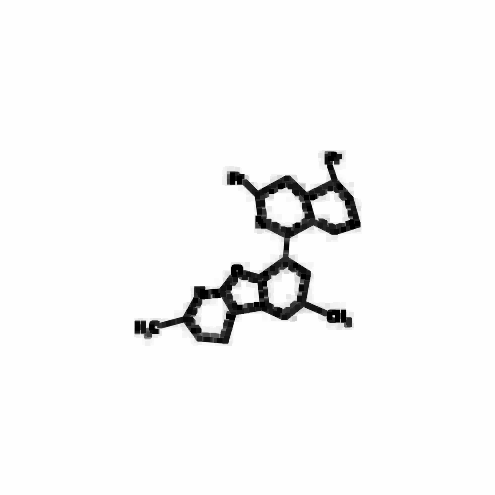 Cc1cc(-c2nc(C(C)C)cc3c(C(C)C)cccc23)c2oc3nc(C)ccc3c2c1